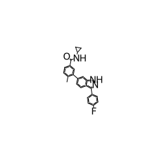 Cc1ccc(C(=O)NC2CC2)cc1-c1ccc2c(-c3ccc(F)cc3)n[nH]c2c1